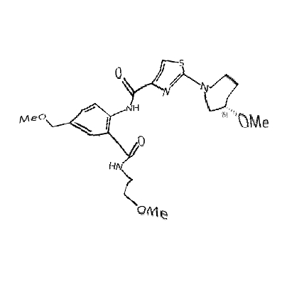 COCCNC(=O)c1cc(COC)ccc1NC(=O)c1csc(N2CC[C@H](OC)C2)n1